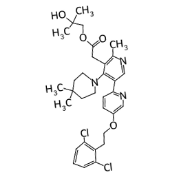 Cc1ncc(-c2ccc(OCCc3c(Cl)cccc3Cl)cn2)c(N2CCC(C)(C)CC2)c1CC(=O)OCC(C)(C)O